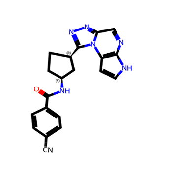 N#Cc1ccc(C(=O)N[C@H]2CC[C@@H](c3nnc4cnc5[nH]ccc5n34)C2)cc1